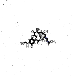 C=C/C(=C\C=C(/C)F)CC(C#N)(CC)CCN(C)C(=O)C1CN(C(=O)OC(C)(C)C)c2cc(Cl)c(NCC#N)cc2O1